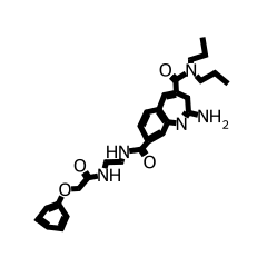 CCCN(CCC)C(=O)C1=Cc2ccc(C(=O)NCCNC(=O)COc3ccccc3)cc2N=C(N)C1